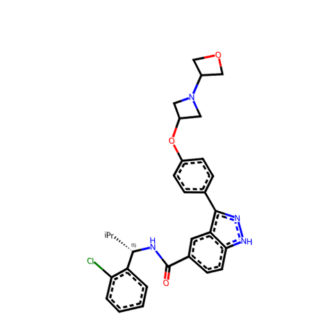 CC(C)[C@H](NC(=O)c1ccc2[nH]nc(-c3ccc(OC4CN(C5COC5)C4)cc3)c2c1)c1ccccc1Cl